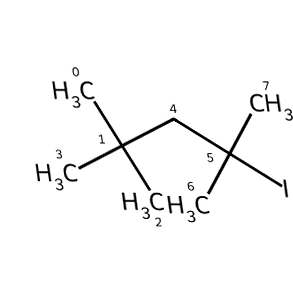 CC(C)(C)CC(C)(C)I